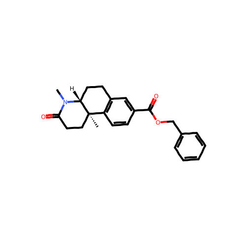 CN1C(=O)CC[C@]2(C)c3ccc(C(=O)OCc4ccccc4)cc3CC[C@@H]12